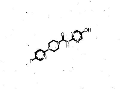 O=C(Nc1ncc(O)cn1)N1CCN(c2ccc(F)cn2)CC1